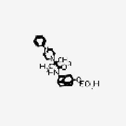 CC(C)(C(=O)NC1C2CC3CC1CC(OC(=O)O)(C3)C2)N1CCN(c2ccccc2)CC1